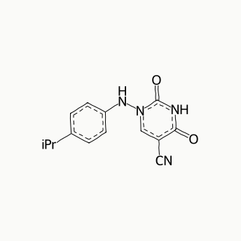 CC(C)c1ccc(Nn2cc(C#N)c(=O)[nH]c2=O)cc1